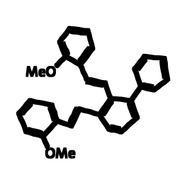 COc1ccccc1C=Cc1cccc(-c2ccccc2)c1C=Cc1ccccc1OC